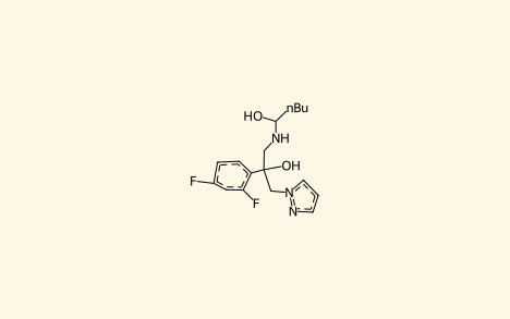 CCCCC(O)NCC(O)(Cn1cccn1)c1ccc(F)cc1F